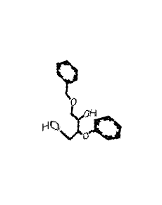 OCC(Oc1ccccc1)C(O)COCc1ccccc1